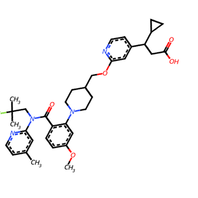 COc1ccc(C(=O)N(CC(C)(C)F)c2cc(C)ccn2)c(N2CCC(COc3cc(C(CC(=O)O)C4CC4)ccn3)CC2)c1